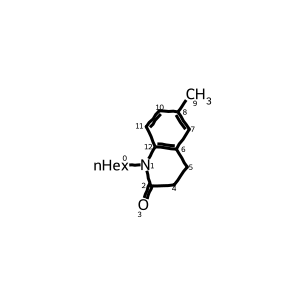 CCCCCCN1C(=O)CCc2cc(C)ccc21